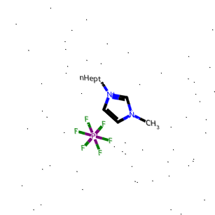 CCCCCCC[n+]1ccn(C)c1.F[P-](F)(F)(F)(F)F